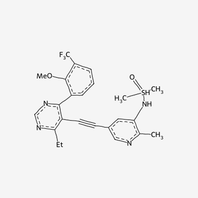 CCc1ncnc(-c2cccc(C(F)(F)F)c2OC)c1C#Cc1cnc(C)c(N[SH](C)(C)=O)c1